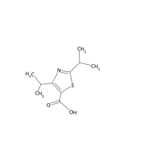 CC(C)c1nc(C(C)C)c(C(=O)O)s1